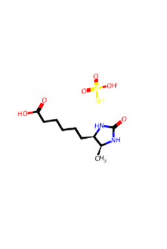 C[C@@H]1NC(=O)N[C@@H]1CCCCCC(=O)O.O=S(=O)(O)S